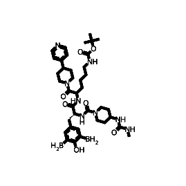 Bc1cc(C[C@@H](NC(=O)N2CCC(NC(=O)NC)CC2)C(=O)NC(CCCCNC(=O)OC(C)(C)C)C(=O)N2CCC(c3ccncc3)CC2)cc(B)c1O